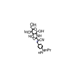 CCCN(CCC)c1ccc(/C=C(\C#N)C(=O)N[C@H]2C(O)O[C@H](CO)[C@@H](O)[C@@H]2O)cc1